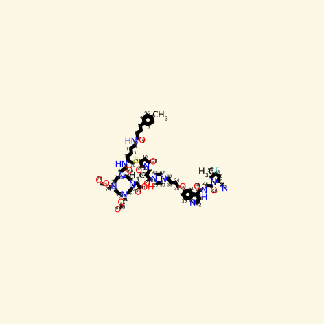 Cc1ccc(CCCC(=O)NCCCCC(CSC2CC(=O)N(CC(C)C(=O)N3CCN(CCCCOc4ccc5nccc(C(=O)NCC(=O)N6CC(C)(F)C[C@@H]6C#N)c5c4)CC3)C2=O)NC(=O)CN2CCN(COC=O)CCN(COC=O)CCN(CC(=O)O)CC2)cc1